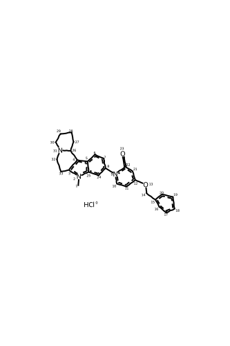 Cl.Cn1c2c(c3ccc(-n4ccc(OCc5ccccc5)cc4=O)cc31)C1CCCCN1CC2